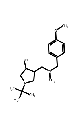 COc1ccc(CN(C)CC2CN(C(C)(C)C)CC2O)cc1